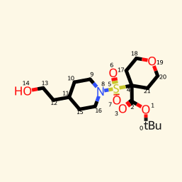 CC(C)(C)OC(=O)C1(S(=O)(=O)N2CCC(CCO)CC2)CCOCC1